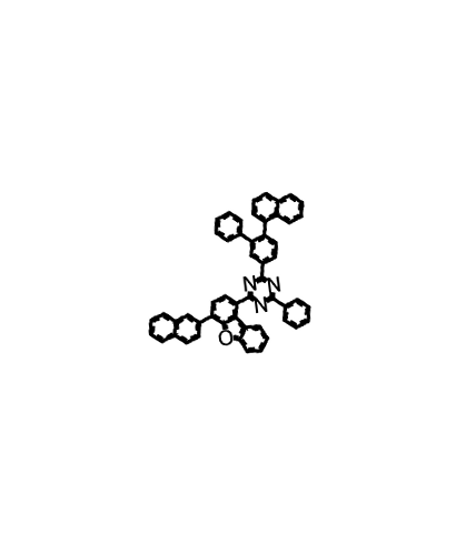 c1ccc(-c2nc(-c3ccc(-c4cccc5ccccc45)c(-c4ccccc4)c3)nc(-c3ccc(-c4ccc5ccccc5c4)c4oc5ccccc5c34)n2)cc1